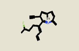 C#CC1/C=C(CC)/C=C\C(=C)/N=C1/C(=C/C=C)CCC(C)F